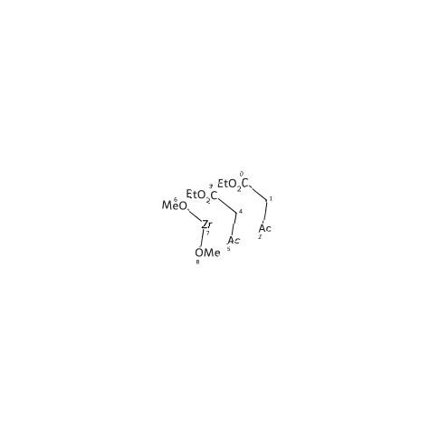 CCOC(=O)CC(C)=O.CCOC(=O)CC(C)=O.C[O][Zr][O]C